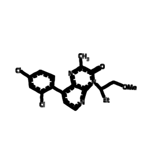 CCC(COC)n1c(=O)c(C)nc2c(-c3ccc(Cl)cc3Cl)ccnc21